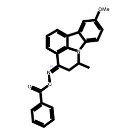 COc1ccc2c(c1)c1cccc3c1n2C(C)C/C3=N\OC(=O)c1ccccc1